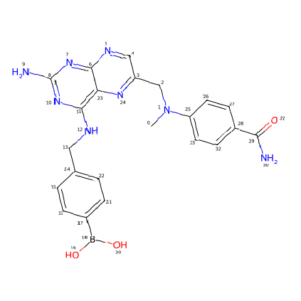 CN(Cc1cnc2nc(N)nc(NCc3ccc(B(O)O)cc3)c2n1)c1ccc(C(N)=O)cc1